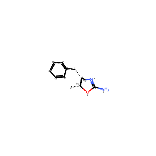 C[C@H]1OC(N)=N[C@H]1Cc1ccccc1